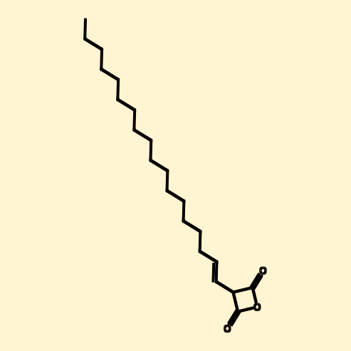 CCCCCCCCCCCCCCCC/C=C/C1C(=O)OC1=O